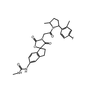 CNC(=O)Nc1ccc2c(c1)CCC21OC(=O)N(CC(=O)N2C(C)CCC2c2ccc(F)cc2C)C1=O